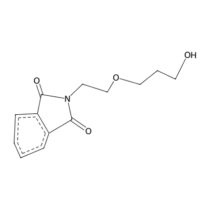 O=C1c2ccccc2C(=O)N1CCOCCCO